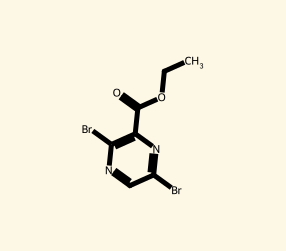 CCOC(=O)c1nc(Br)cnc1Br